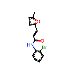 Cc1ccc(C=CC(=O)Nc2ccccc2Br)o1